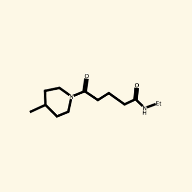 CCNC(=O)CCCC(=O)N1CCC(C)CC1